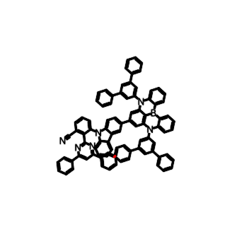 N#Cc1cccc(-n2c3ccccc3c3cc(-c4cc5c6c(c4)N(c4cc(-c7ccccc7)cc(-c7ccccc7)c4)c4ccccc4B6c4ccccc4N5c4cc(-c5ccccc5)cc(-c5ccccc5)c4)ccc32)c1-c1nc(-c2ccccc2)cc(-c2ccccc2)n1